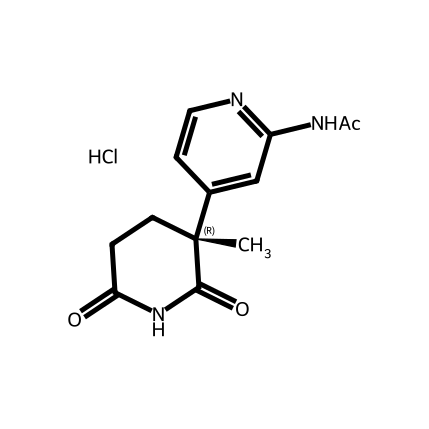 CC(=O)Nc1cc([C@@]2(C)CCC(=O)NC2=O)ccn1.Cl